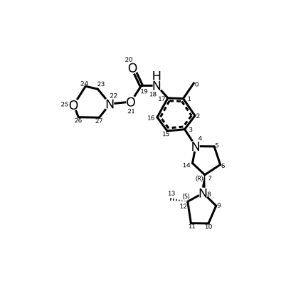 Cc1cc(N2CC[C@@H](N3CCC[C@@H]3C)C2)ccc1NC(=O)ON1CCOCC1